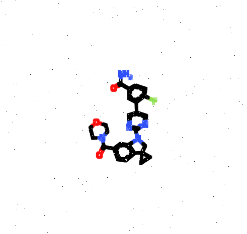 NC(=O)c1ccc(F)c(-c2cnc(N3CC4(CC4)c4ccc(C(=O)N5CCOCC5)cc43)nc2)c1